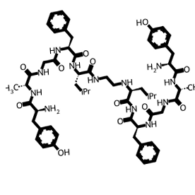 CC(C)C[C@H](NCCNC(=O)[C@H](CC(C)C)NC(=O)[C@H](Cc1ccccc1)NC(=O)CNC(=O)[C@@H](C)NC(=O)[C@@H](N)Cc1ccc(O)cc1)C(=O)NC(=O)[C@H](Cc1ccccc1)NC(=O)CNC(=O)[C@@H](C)NC(=O)[C@@H](N)Cc1ccc(O)cc1